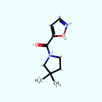 CC1(C)CCN(C(=O)c2ccno2)C1